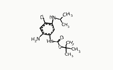 CC(C)Nc1cc(NC(=O)OC(C)(C)C)c(N)cc1Cl